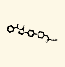 COC(=O)CC1CCN(c2ccc(-n3ccn(C(C)c4ccccc4)c3=O)cc2)CC1